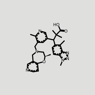 Cc1ncc(C(c2ccc3c(nnn3C)c2C)C(C)(C)C(=O)O)cc1CN1Cc2cnccc2O[C@H](C)C1